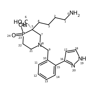 NCCCC[C@@]1(C(=O)O)CN(Cc2ccccc2-c2cc[nH]n2)CCP1(=O)O